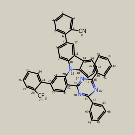 N#Cc1ccccc1-c1ccc2c(c1)c1ccccc1n2-c1cc(-c2ccccc2C(F)(F)F)ccc1-c1nc(-c2ccccc2)nc(-c2ccccc2)n1